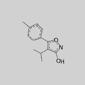 Cc1ccc(-c2onc(O)c2C(C)C)cc1